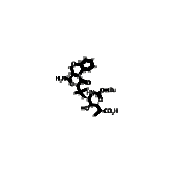 C[C@H](C[C@H](O)[C@H](CC(C)(C)CC(=O)N1c2ccccc2OC[C@@H]1C(N)=O)NC(=O)OC(C)(C)C)C(=O)O